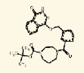 CC(C)(C)OC(=O)N1CCCN(C(=O)c2cccc(COc3n[nH]c(=O)c4ccccc34)c2)CC1